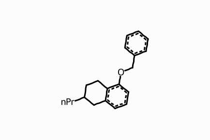 CCCC1CCc2c(cccc2OCc2ccccc2)C1